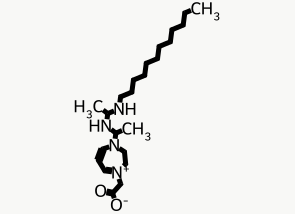 CCCCCCCCCCCCNC(C)NC(C)N1C#CC=[N+](CC(=O)[O-])CC1